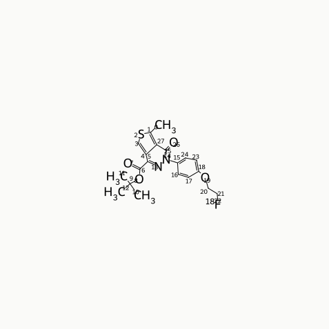 Cc1scc2c(C(=O)OC(C)(C)C)nn(-c3ccc(OCC[18F])cc3)c(=O)c12